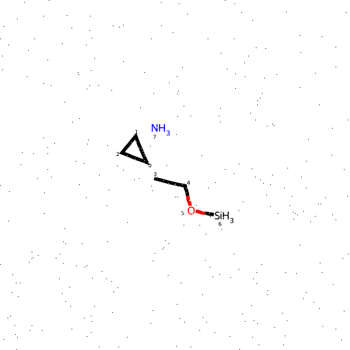 C1CC1.CCO[SiH3].N